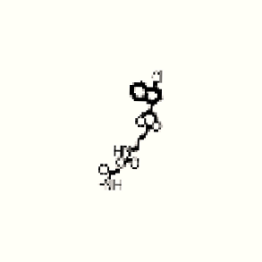 CNC(=O)COC(=O)NCCCC1OCC(c2ccc(Cl)c3ccccc23)CO1